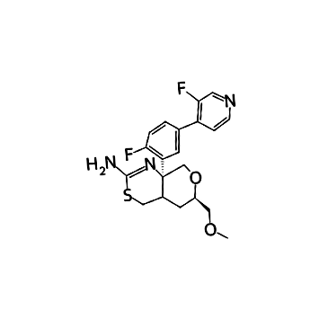 COC[C@H]1CC2CSC(N)=N[C@@]2(c2cc(-c3ccncc3F)ccc2F)CO1